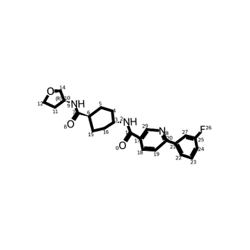 O=C(N[C@H]1CC[C@H](C(=O)N[C@@H]2CCOC2)CC1)c1ccc(-c2cccc(F)c2)nc1